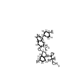 C[C@H]1[C@H](Oc2ccc3c(cnn3-c3ccc(F)cc3)c2)c2cc(F)ccc2N1C(=O)C(C)(F)F